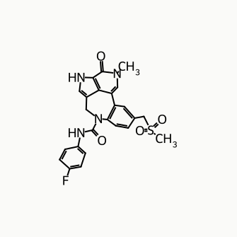 Cn1cc2c3c(c[nH]c3c1=O)CN(C(=O)Nc1ccc(F)cc1)c1ccc(CS(C)(=O)=O)cc1-2